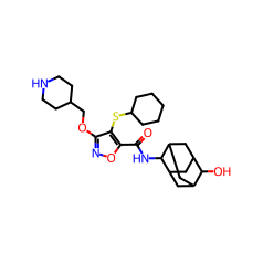 O=C(NC1C2CC3CC1CC(C2)C3O)c1onc(OCC2CCNCC2)c1SC1CCCCC1